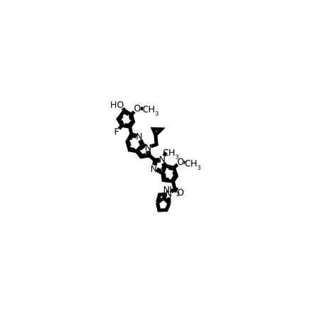 COc1cc(-c2ccc3cc(-c4nc5cc(C(=O)N6CC7CCC6C7N)cc(OC)c5n4C)n(CC4CC4)c3n2)c(F)cc1O